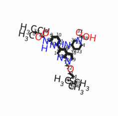 CC(C)(C)OC(=O)Nc1cccc(-c2cnc3c(ccn3COCC[Si](C)(C)C)c2N[C@@H]2CCCN(C(=O)O)C2)n1